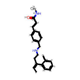 C/C=C(/CCNCc1ccc(/C=C/C(=O)NN=O)cc1)c1ccccc1C